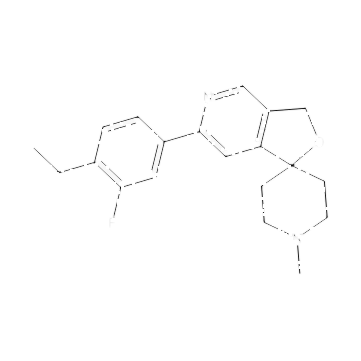 CCc1ccc(-c2cc3c(cn2)COC32CCN(C)CC2)cc1F